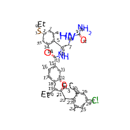 CCSc1ccc(C(CNC(N)=O)NC(=O)c2ccc3c(CC)c(Cc4ccc(Cl)cc4C(F)(F)F)oc3c2)cc1